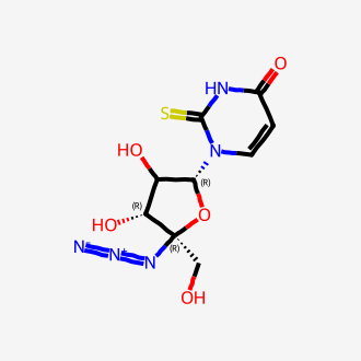 [N-]=[N+]=N[C@]1(CO)O[C@@H](n2ccc(=O)[nH]c2=S)C(O)[C@H]1O